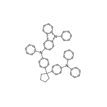 c1ccc(N(c2ccccc2)c2ccc(C3(c4ccc(N(c5ccccc5)c5ccc6c(c5)c5ccccc5n6-c5ccccc5)cc4)CCCC3)cc2)cc1